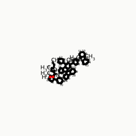 C/C=C(\c1oc(CCC)c(C)c1C)N(c1ccc2c(c1)C1(c3ccccc3-c3ccccc31)c1cc(-c3ccc(N4c5ccccc5C5(C)CCCCC45C)cc3)c(O)c(-c3ccccc3)c1-2)c1ccccc1-c1ccccc1